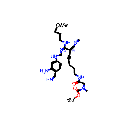 C=N/C=C(C#CCCCNC(=O)CN(C)C(=O)OC(C)(C)C)\C(=N/CNc1ccc(C=N)c(N)c1)NCCCOC